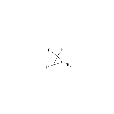 FC1CC1(F)F.[SiH4]